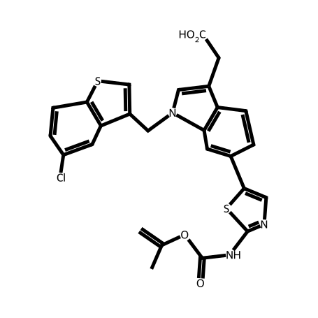 C=C(C)OC(=O)Nc1ncc(-c2ccc3c(CC(=O)O)cn(Cc4csc5ccc(Cl)cc45)c3c2)s1